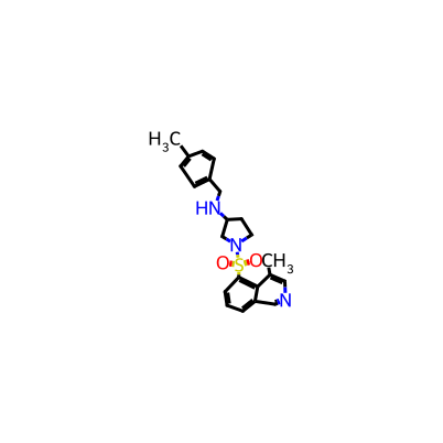 Cc1ccc(CNC2CCN(S(=O)(=O)c3cccc4cncc(C)c34)C2)cc1